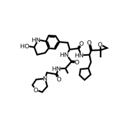 CC(NC(=O)CN1CCOCC1)C(=O)NC(Cc1ccc2c(c1)CCC(O)N2)C(=O)NC(CC1CCCC1)C(=O)C1(C)CO1